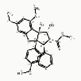 CNC(=O)[C@H]1[C@@H](O)[C@@]2(O)c3c(OC)cc(OC)cc3O[C@@]2(c2ccc(OC)cc2)[C@@H]1c1ccccc1